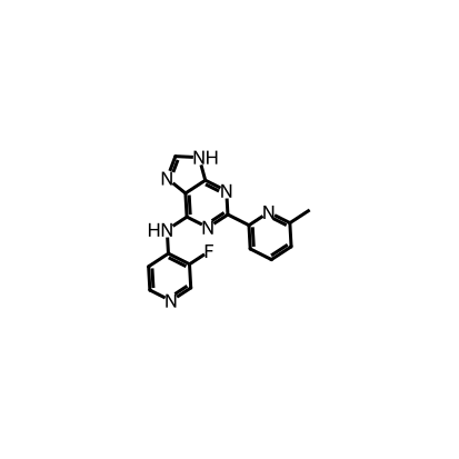 Cc1cccc(-c2nc(Nc3ccncc3F)c3nc[nH]c3n2)n1